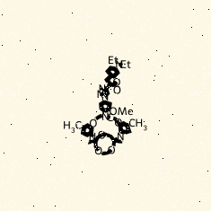 CCN(CC)c1ccc2cc(-c3cn(-c4ccc(N5CCOc6cc(C)ccc6N6CC67CCOCC6(COCCOC7)CN6c6ccc(C)cc6OCC5)c(OC)c4)nn3)c(=O)oc2c1